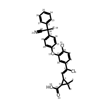 CC1(C)C(C=C(Cl)c2ccc(Cl)c(Oc3ccc(C(F)(C#N)c4ccccc4)cc3)c2)C1C(=O)O